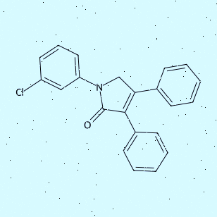 O=C1C(c2ccccc2)=C(c2ccccc2)CN1c1cccc(Cl)c1